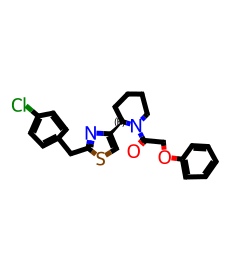 O=C(COc1ccccc1)N1CCCC[C@@H]1c1csc(Cc2ccc(Cl)cc2)n1